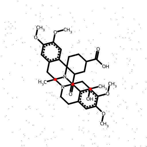 CCN1CCc2cc(OC)c(OC)cc2C1C1CC(C(=O)O)CCC12c1cc(OC)c(OC)cc1CCN2C(=O)CC(C)O